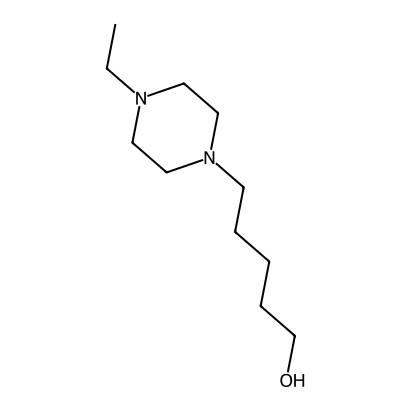 CCN1CCN(CCCCCO)CC1